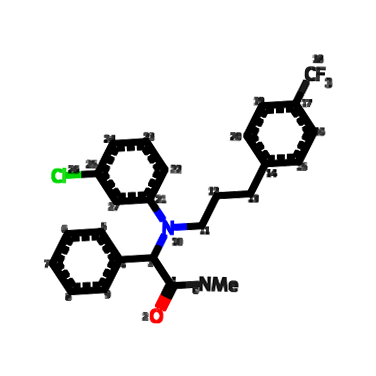 CNC(=O)C(c1ccccc1)N(CCCc1ccc(C(F)(F)F)cc1)c1cccc(Cl)c1